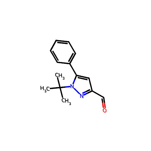 CC(C)(C)n1nc(C=O)cc1-c1ccccc1